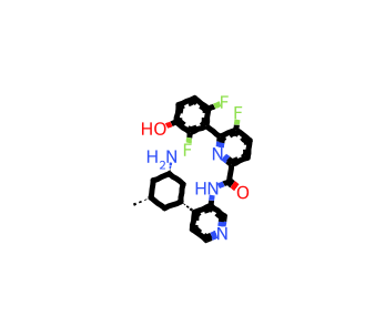 C[C@@H]1C[C@H](N)C[C@H](c2ccncc2NC(=O)c2ccc(F)c(-c3c(F)ccc(O)c3F)n2)C1